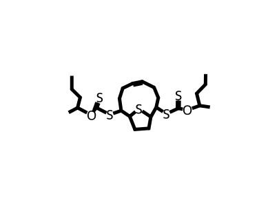 CCCC(C)OC(=S)SC1CCC=CCCC(SC(=S)OC(C)CCC)C2CCC1S2